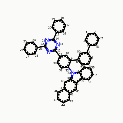 c1ccc(-c2cccc(-c3cc(-c4nc(-c5ccccc5)nc(-c5ccccc5)n4)ccc3-n3c4ccccc4c4cc5ccccc5cc43)c2)cc1